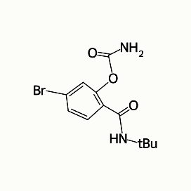 CC(C)(C)NC(=O)c1ccc(Br)cc1OC(N)=O